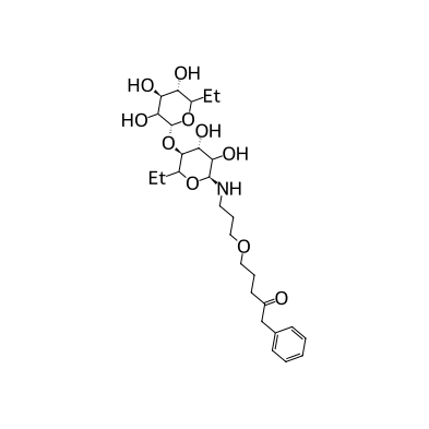 CCC1O[C@H](O[C@@H]2C(CC)O[C@H](NCCCOCCCC(=O)Cc3ccccc3)C(O)[C@H]2O)C(O)[C@@H](O)[C@@H]1O